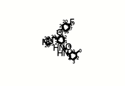 Cc1cccc(NC(=O)Nc2ccc(Oc3ccc(F)cc3)c(Cn3ccnc3)c2)c1